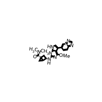 COc1nc(N[C@H]2C[C@]3(C(=O)N(C)C)CC23)nc2[nH]cc(-c3ccc4ncnn4c3)c12